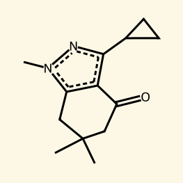 Cn1nc(C2CC2)c2c1CC(C)(C)CC2=O